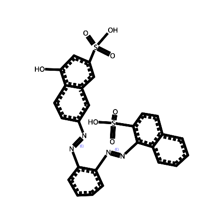 O=S(=O)(O)c1cc(O)c2ccc(/N=N/c3ccccc3/N=N/c3c(S(=O)(=O)O)ccc4ccccc34)cc2c1